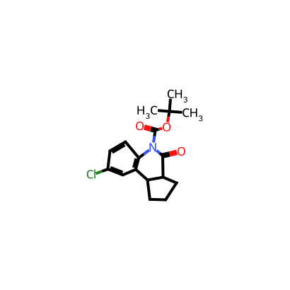 CC(C)(C)OC(=O)N1C(=O)C2CCCC2c2cc(Cl)ccc21